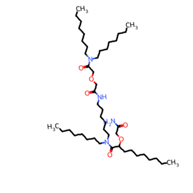 CCCCCCCCC(OCC(N)=O)C(=O)N(CCCCCCCC)CCCCCCNC(=O)COCC(=O)N(CCCCCCCC)CCCCCCCC